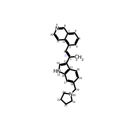 C/C(=C\c1cccc2cnccc12)c1c[nH]c2cc(CN3CCCC3)ccc12